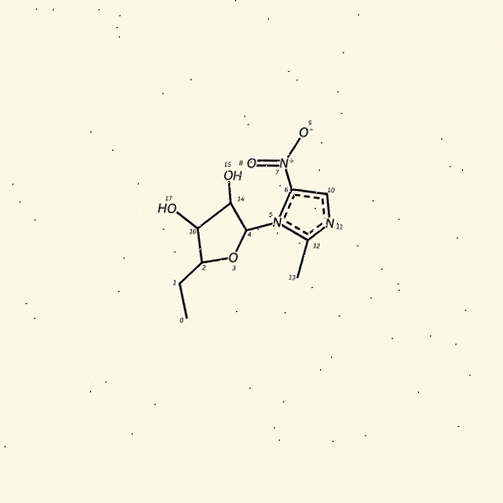 CCC1OC(n2c([N+](=O)[O-])cnc2C)C(O)C1O